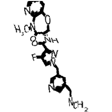 C=NCc1cncc(Cn2cc(F)c(C(=O)N[C@H]3COc4cccnc4N(C)C3=O)n2)c1